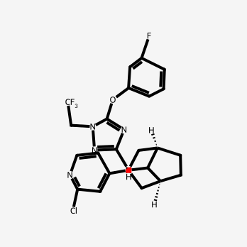 Fc1cccc(Oc2nc(NC3[C@@H]4CC[C@H]3CN(c3ccnc(Cl)c3)C4)nn2CC(F)(F)F)c1